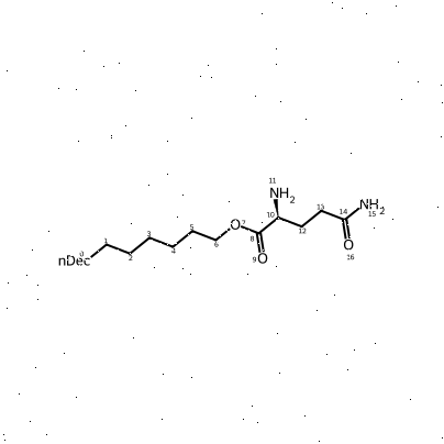 CCCCCCCCCCCCCCCCOC(=O)[C@@H](N)CCC(N)=O